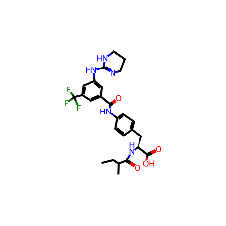 CCC(C)C(=O)N[C@@H](Cc1ccc(NC(=O)c2cc(NC3=NCCCN3)cc(C(F)(F)F)c2)cc1)C(=O)O